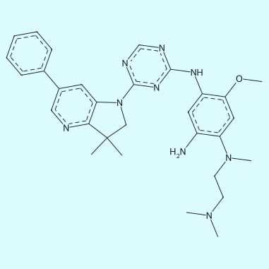 COc1cc(N(C)CCN(C)C)c(N)cc1Nc1ncnc(N2CC(C)(C)c3ncc(-c4ccccc4)cc32)n1